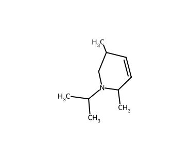 CC1C=CC(C)N(C(C)C)C1